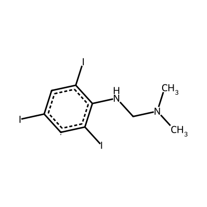 CN(C)CNc1c(I)[c]c(I)cc1I